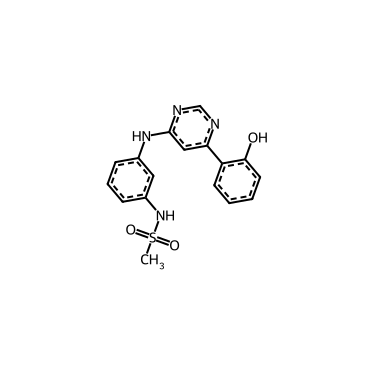 CS(=O)(=O)Nc1cccc(Nc2cc(-c3ccccc3O)ncn2)c1